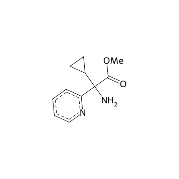 COC(=O)C(N)(c1ccccn1)C1CC1